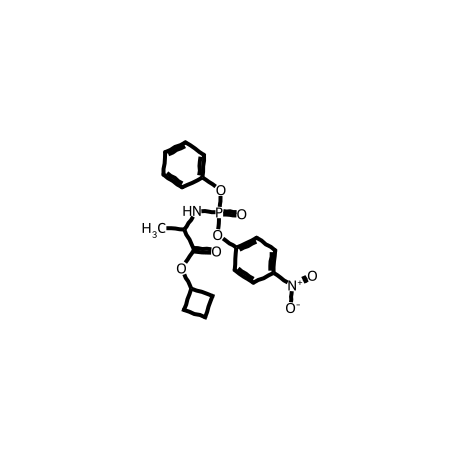 CC(NP(=O)(Oc1ccccc1)Oc1ccc([N+](=O)[O-])cc1)C(=O)OC1CCC1